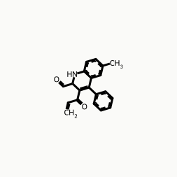 C=CC(=O)C1=C(c2ccccc2)c2cc(C)ccc2NC1C=O